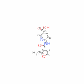 Cc1occc1C(=O)Nc1ccc(C(=O)O)cn1